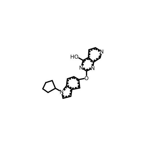 Oc1nc(Oc2ccc3c(ccn3C3CCCC3)c2)nc2cnccc12